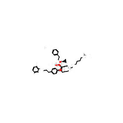 Cc1ccc(CCN(C(=O)C2=C(c3ccc(CCCOc4c(F)ccc(F)c4F)cc3)CC3CN(C(=O)OCCCCO[N+](=O)[O-])CC2N3C(=O)OC(C)(C)C(Cl)(Cl)Cl)C2CC2)cc1